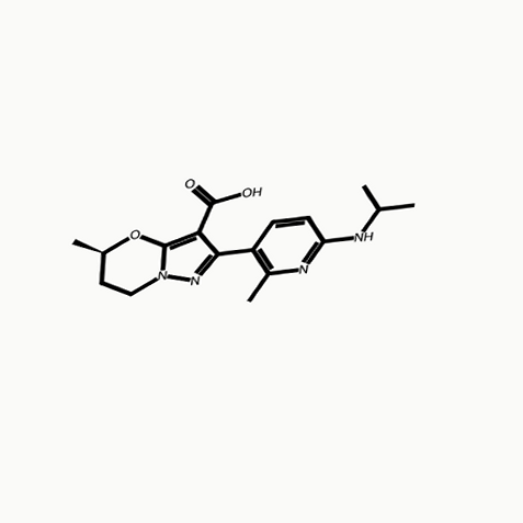 Cc1nc(NC(C)C)ccc1-c1nn2c(c1C(=O)O)O[C@H](C)CC2